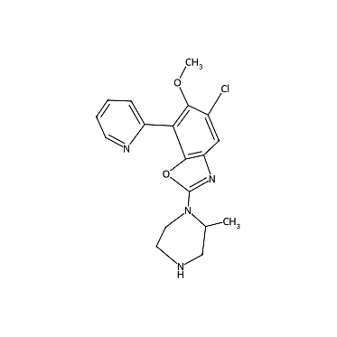 COc1c(Cl)cc2nc(N3CCNCC3C)oc2c1-c1ccccn1